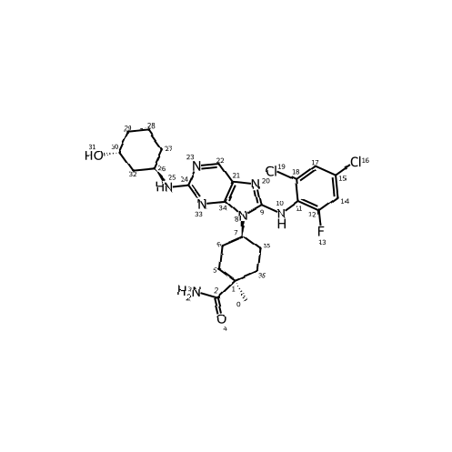 C[C@]1(C(N)=O)CC[C@@H](n2c(Nc3c(F)cc(Cl)cc3Cl)nc3cnc(N[C@@H]4CCC[C@@H](O)C4)nc32)CC1